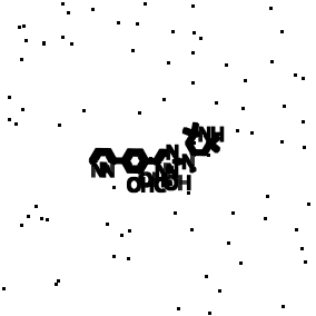 CN(c1ncc(-c2ccc(-c3cccnn3)cc2O)nn1)C1CC(C)(C)NC(C)(C)C1.O=CO